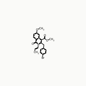 CC=Cn1c(Cc2ccc(Br)cc2)c(C(=O)OC)c2cc(OC)ccc2c1=O